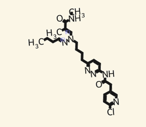 CCC/C=N/N(/C=C(\C)C(=O)NC)CCCCc1ccc(NC(=O)Cc2ccc(Cl)nc2)nn1